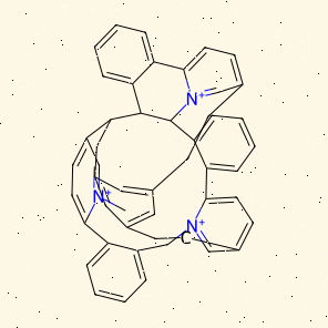 C[n+]1cc2ccc1-c1ccccc1C[n+]1cc3ccc1-c1ccccc1C1C4c5ccccc5-c5ccc(c[n+]51)CCc1cc(cc(c1)CC24)CC3